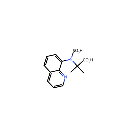 CC(C)(C(=O)O)N(c1cccc2cccnc12)S(=O)(=O)O